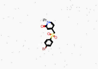 CC(C)n1ccc(CS(=O)(=O)c2ccc(Br)cc2)cc1=O